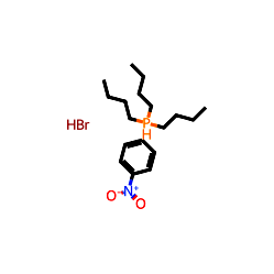 Br.CCCC[PH](CCCC)(CCCC)c1ccc([N+](=O)[O-])cc1